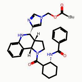 CC(C)(C)C(=O)OCn1cnc([C@H]2Nc3ccccc3[C@@H]3[C@H]2CCN3C(=O)C2CCCC[C@H]2NC(=O)c2ccccc2)c1